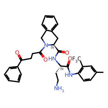 Cc1ccc(NC(=O)[C@H](CCN)NC(=O)[C@@H]2Cc3ccccc3CN2C(=O)CCC(=O)c2ccccc2)c(C(F)(F)F)c1